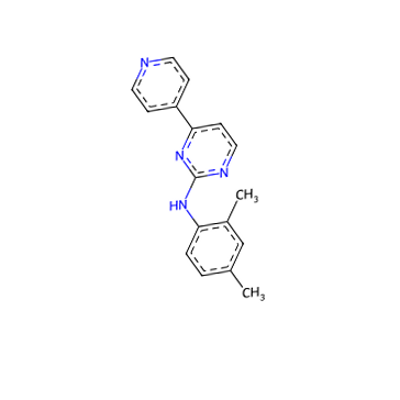 Cc1ccc(Nc2nccc(-c3ccncc3)n2)c(C)c1